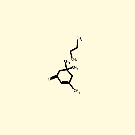 CC1=CC(=O)CC(C)(C)C1.CCCC